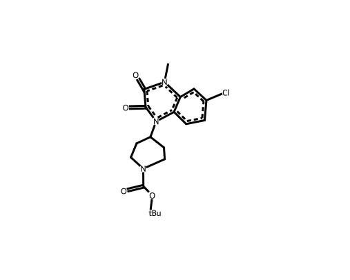 Cn1c(=O)c(=O)n(C2CCN(C(=O)OC(C)(C)C)CC2)c2ccc(Cl)cc21